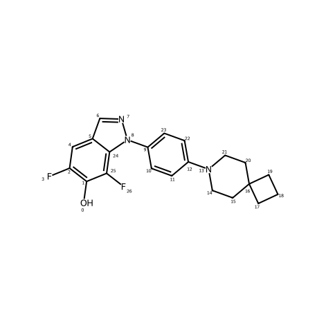 Oc1c(F)cc2cnn(-c3ccc(N4CCC5(CCC5)CC4)cc3)c2c1F